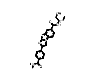 CC[C@@H](CO)NC(=O)c1ccc2c(c1)sc1nc(-c3ccc(C(=O)NC)cc3)cn12